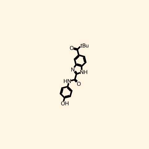 CC(C)(C)C(=O)c1ccc2[nH]c(C(=O)Nc3ccc(O)cc3)nc2c1